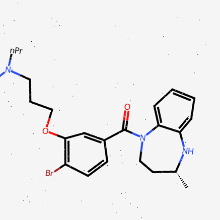 CCCN(C)CCCOc1cc(C(=O)N2CC[C@@H](C)Nc3ccccc32)ccc1Br